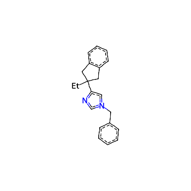 CCC1(c2cn(Cc3ccccc3)cn2)Cc2ccccc2C1